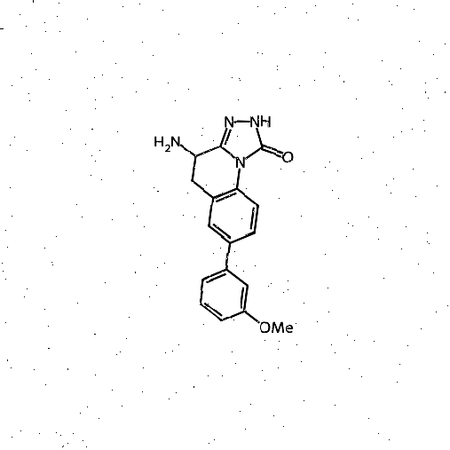 COc1cccc(-c2ccc3c(c2)CC(N)c2n[nH]c(=O)n2-3)c1